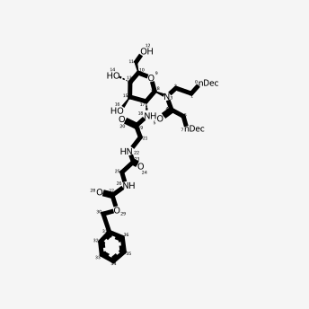 CCCCCCCCCCCCN(C(=O)CCCCCCCCCCC)[C@@H]1O[C@H](CO)[C@@H](O)[C@H](O)[C@H]1NC(=O)CNC(=O)CNC(=O)OCc1ccccc1